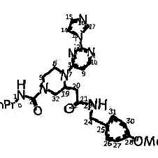 CCCNC(=O)N1CCN(c2ccnc(-n3ccnc3)n2)C(CC(=O)NCc2ccc(OC)cc2)C1